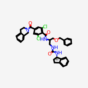 O=C(NCC(COCc1ccccc1)NC(=O)c1c(Cl)cc(C(=O)N2CCc3ccccc3C2)cc1Cl)N[C@@H]1CCc2ccccc21